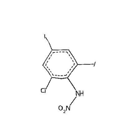 O=[N+]([O-])Nc1c(Cl)cc(I)cc1I